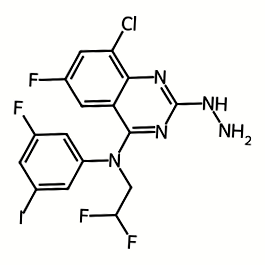 NNc1nc(N(CC(F)F)c2cc(F)cc(I)c2)c2cc(F)cc(Cl)c2n1